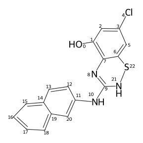 Oc1cc(Cl)cc2c1N=C(Nc1ccc3ccccc3c1)NS2